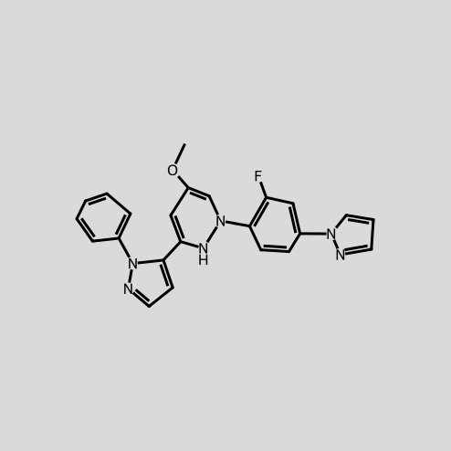 COC1=CN(c2ccc(-n3cccn3)cc2F)NC(c2ccnn2-c2ccccc2)=C1